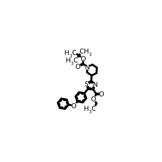 CCOC(=O)c1nc(C2CCCN(C(=O)OC(C)(C)C)C2)sc1-c1ccc(Oc2ccccc2)cc1